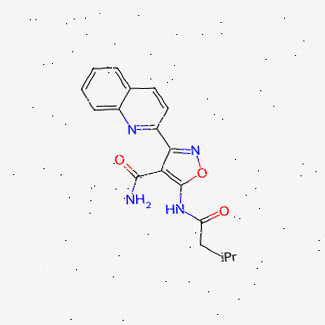 CC(C)CC(=O)Nc1onc(-c2ccc3ccccc3n2)c1C(N)=O